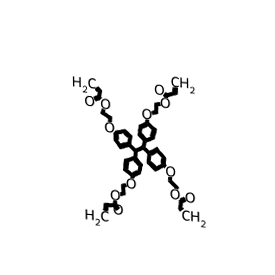 C=CC(=O)OCCOc1ccc(C(c2ccc(OCCOC(=O)C=C)cc2)C(c2ccc(OCCOC(=O)C=C)cc2)c2ccc(OCCOC(=O)C=C)cc2)cc1